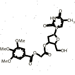 COc1cc(C(=O)OCC(=O)OC2CC(n3cc(C)c(=O)[nH]c3=O)OC2CO)cc(OC)c1OC